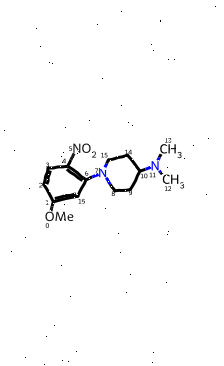 COc1ccc([N+](=O)[O-])c(N2CCC(N(C)C)CC2)c1